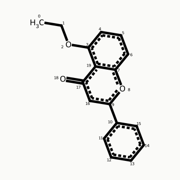 CCOc1cccc2oc(-c3ccccc3)cc(=O)c12